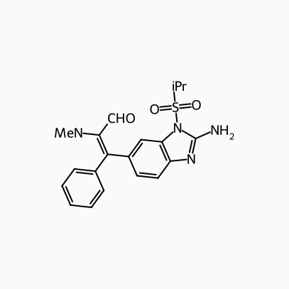 CNC(C=O)=C(c1ccccc1)c1ccc2nc(N)n(S(=O)(=O)C(C)C)c2c1